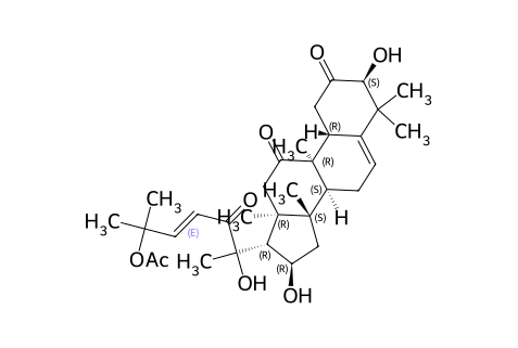 CC(=O)OC(C)(C)/C=C/C(=O)C(C)(O)[C@H]1[C@H](O)C[C@@]2(C)[C@@H]3CC=C4[C@@H](CC(=O)[C@@H](O)C4(C)C)[C@]3(C)C(=O)C[C@]12C